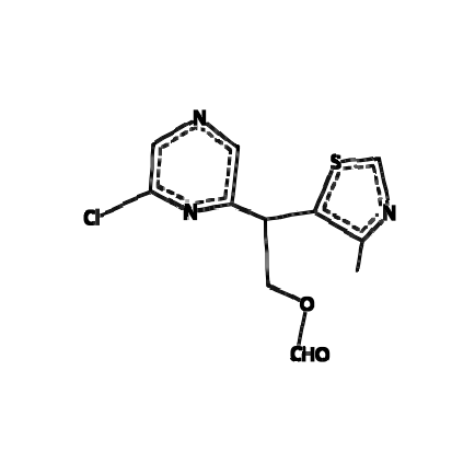 Cc1ncsc1C(COC=O)c1cncc(Cl)n1